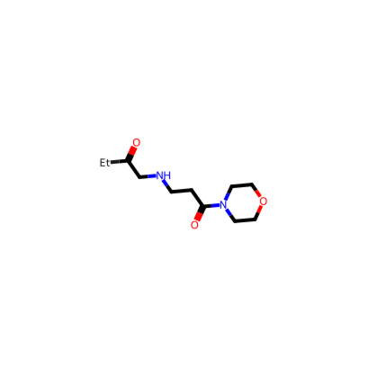 CCC(=O)CNCCC(=O)N1CCOCC1